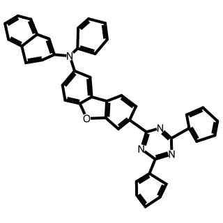 c1ccc(-c2nc(-c3ccccc3)nc(-c3ccc4c(c3)oc3ccc(N(c5ccccc5)c5ccc6ccccc6c5)cc34)n2)cc1